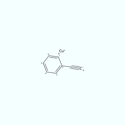 [C-]#Cc1ccccc1.[Cu+]